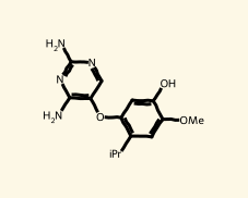 COc1cc(C(C)C)c(Oc2cnc(N)nc2N)cc1O